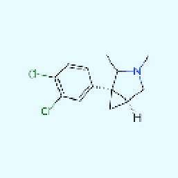 CC1N(C)C[C@H]2C[C@@]12c1ccc(Cl)c(Cl)c1